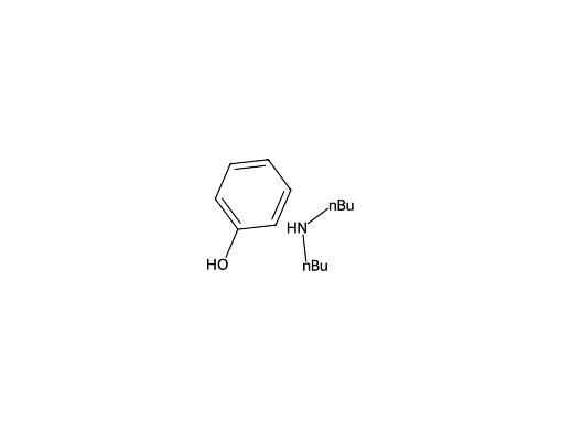 CCCCNCCCC.Oc1ccccc1